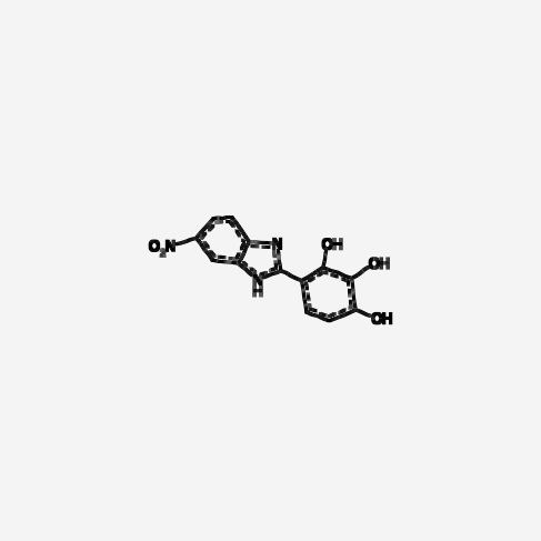 O=[N+]([O-])c1ccc2nc(-c3ccc(O)c(O)c3O)[nH]c2c1